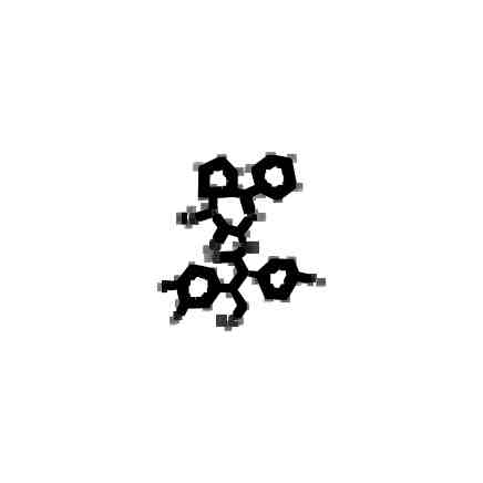 CC[C@@H](c1ccc(F)c(F)c1)[C@H](C(=O)N[C@H]1N=C(c2ccccc2)c2ccccc2N(C)C1=O)c1ccc(F)cc1